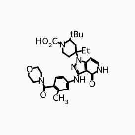 CCC1(n2nc(Nc3ccc(C(=O)N4CCOCC4)c(C)c3)c3c(=O)[nH]ccc32)CCN(C(=O)O)C(C(C)(C)C)C1